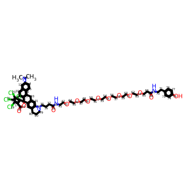 CN(C)c1ccc2c3c(ccc2c1)C1(OC(=O)c2c(Cl)c(Cl)c(Cl)c(Cl)c21)c1cc2c(cc1C3)N(CCCC(=O)NCCOCCOCCOCCOCCOCCOCCOCCOCCC(=O)NCCc1ccc(O)cc1)CCC2